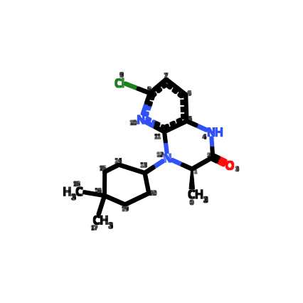 C[C@@H]1C(=O)Nc2ccc(Cl)nc2N1C1CCC(C)(C)CC1